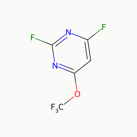 Fc1cc(OC(F)(F)F)nc(F)n1